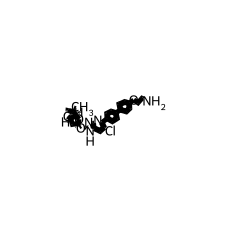 C[C@@H]1CO[C@@H]2C[C@H](Oc3nc4nc(-c5ccc(-c6ccc(OCCN)cc6)cc5)c(Cl)cc4[nH]3)O[C@H]12